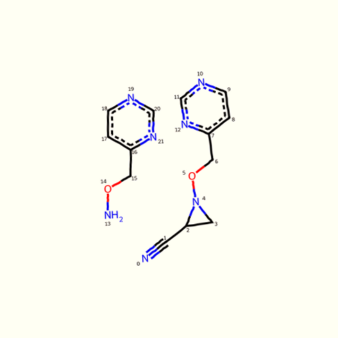 N#CC1CN1OCc1ccncn1.NOCc1ccncn1